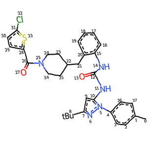 Cc1ccc(-n2nc(C(C)(C)C)cc2NC(=O)Nc2ccccc2CC2CCN(C(=O)c3ccc(Cl)s3)CC2)cc1